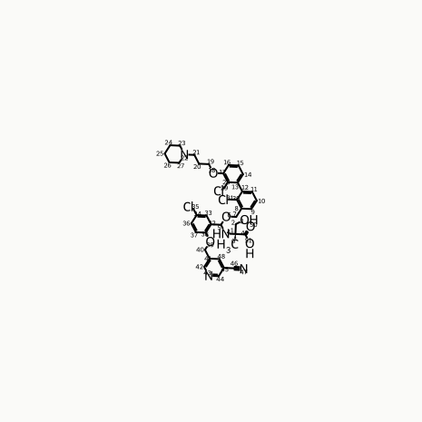 C[C@](CO)(NC(OCc1cccc(-c2cccc(OCCCN3CCCCC3)c2Cl)c1Cl)c1cc(Cl)ccc1OCc1cncc(C#N)c1)C(=O)O